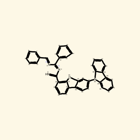 N=C(/N=C(\N=C\c1ccccc1)c1ccccc1)c1cccc2c1oc1cc(-n3c4ccccc4c4ccccc43)ccc12